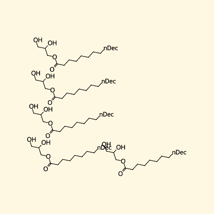 CCCCCCCCCCCCCCCCCC(=O)OCC(O)CO.CCCCCCCCCCCCCCCCCC(=O)OCC(O)CO.CCCCCCCCCCCCCCCCCC(=O)OCC(O)CO.CCCCCCCCCCCCCCCCCC(=O)OCC(O)CO.CCCCCCCCCCCCCCCCCC(=O)OCC(O)CO